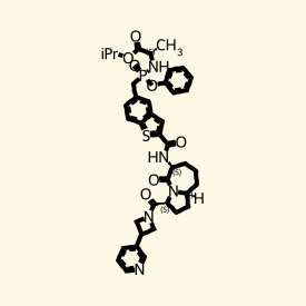 CC(C)OC(=O)[C@H](C)NP(=O)(Cc1ccc2sc(C(=O)N[C@H]3CCC[C@H]4CC[C@@H](C(=O)N5CC(c6cccnc6)C5)N4C3=O)cc2c1)Oc1ccccc1